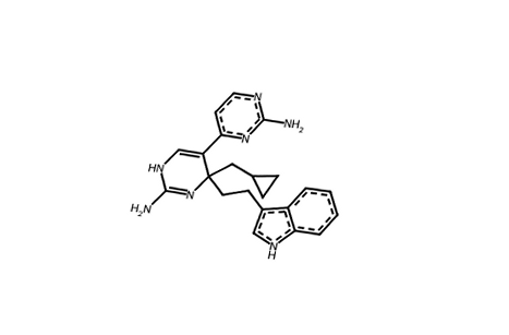 NC1=NC(CCc2c[nH]c3ccccc23)(CC2CC2)C(c2ccnc(N)n2)=CN1